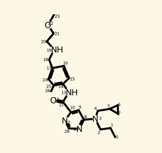 CCCN(CC1CC1)c1cc(C(=O)Nc2ccc(CNCCOC)cc2C)ncn1